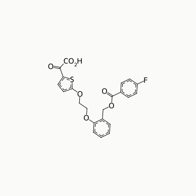 O=C(O)C(=O)c1ccc(OCCOc2ccccc2COC(=O)c2ccc(F)cc2)s1